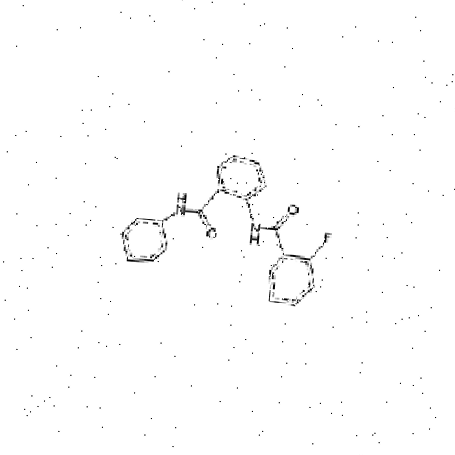 O=C(Nc1ccccc1C(=O)Nc1ccccc1)c1ccccc1F